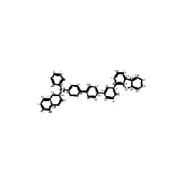 c1ccc(N(c2ccc(-c3ccc(-c4cccc(-c5cccc6c5sc5ccccc56)c4)cc3)cc2)c2ccc3ccccc3c2)cc1